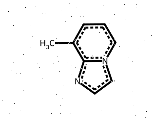 Cc1cccn2[c]cnc12